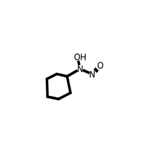 O=NN(O)C1CCCCC1